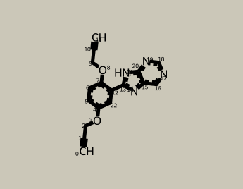 C#CCOc1ccc(OCC#C)c(-c2nc3cncnc3[nH]2)c1